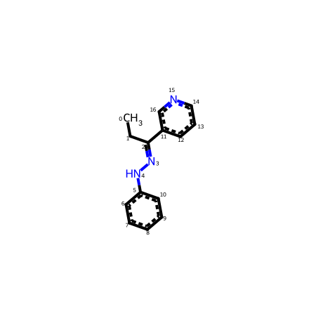 CC/C(=N\Nc1ccccc1)c1cccnc1